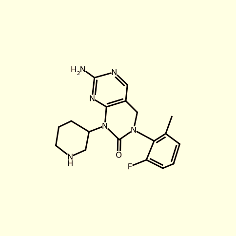 Cc1cccc(F)c1N1Cc2cnc(N)nc2N(C2CCCNC2)C1=O